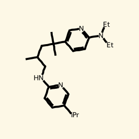 CCN(CC)c1ccc(C(C)(C)CC(C)CNc2ccc(C(C)C)cn2)cn1